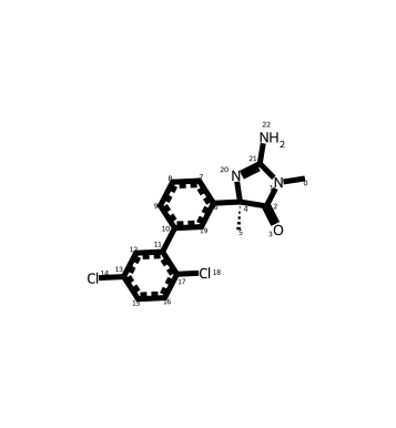 CN1C(=O)[C@@](C)(c2cccc(-c3cc(Cl)ccc3Cl)c2)N=C1N